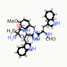 COC1C=CC(Cn2c([C@@H](Cc3c[nH]c4ccccc34)NC=O)nnc2[C@@H](Cc2c[nH]c3ccccc23)NC(=O)C(C)(C)N)=CC1